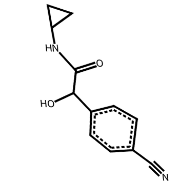 N#Cc1ccc(C(O)C(=O)NC2CC2)cc1